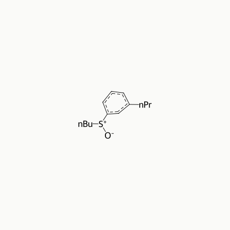 CCCC[S+]([O-])c1cccc(CCC)c1